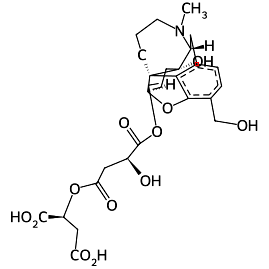 CN1CCC[C@]23c4c5ccc(CO)c4O[C@H]2C(OC(=O)[C@@H](O)CC(=O)O[C@@H](CC(=O)O)C(=O)O)=CC[C@@]3(O)[C@H]1C5